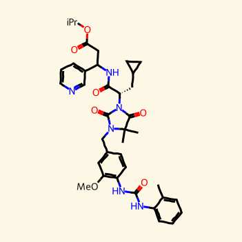 COc1cc(CN2C(=O)N([C@@H](CC3CC3)C(=O)NC(CC(=O)OC(C)C)c3cccnc3)C(=O)C2(C)C)ccc1NC(=O)Nc1ccccc1C